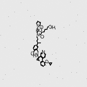 CC(CCCN(CCCN1CCCC1=O)C(=O)C(O)CCCCO)c1ccc(Cl)c(CNC2(c3cnccc3-c3ccccc3OC3CC3)CC2)c1